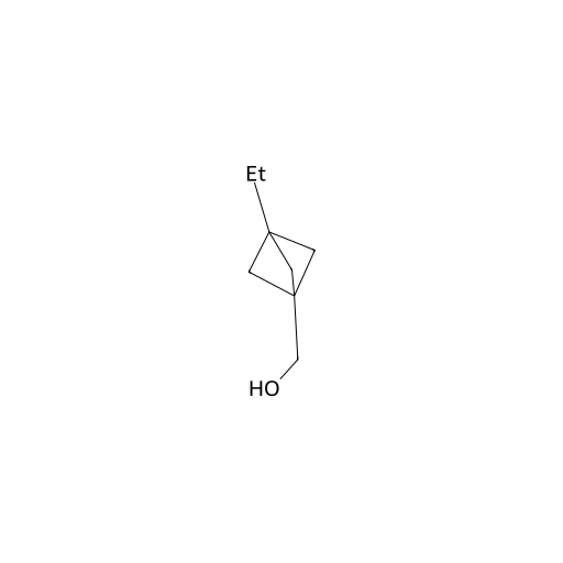 CCC12CC(CO)(C1)C2